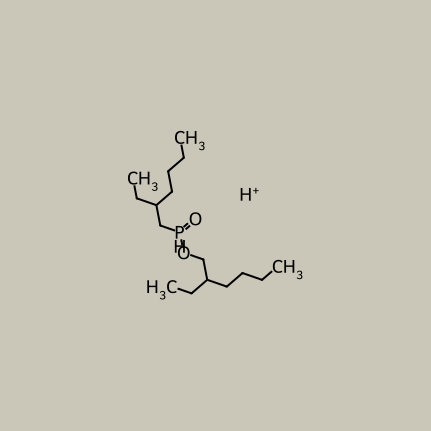 CCCCC(CC)CO[PH](=O)CC(CC)CCCC.[H+]